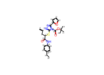 C=CCC(Sc1nnc(-c2ccco2)n1C(=O)OC(C)(C)C)C(=O)Nc1ccc(CC)cc1